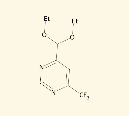 CCOC(OCC)c1cc(C(F)(F)F)ncn1